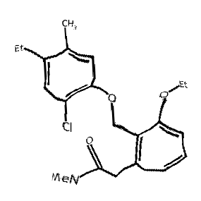 CCOc1cccc(CC(=O)NC)c1COc1cc(C)c(CC)cc1Cl